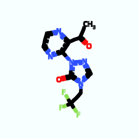 CC(=O)c1nccnc1-n1ncn(CC(F)(F)F)c1=O